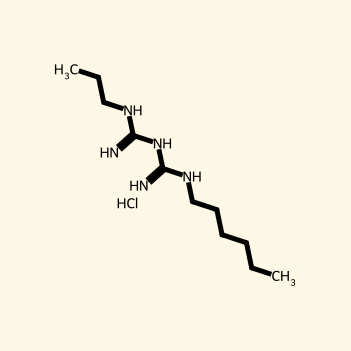 CCCCCCNC(=N)NC(=N)NCCC.Cl